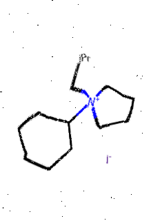 CC(C)C[N+]1(C2CCCCC2)CCCC1.[I-]